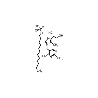 CCCCCCCCCCCCOS(=O)(=O)O.Cc1ncc(C[n+]2csc(CCO)c2C)c(N)n1.Cl